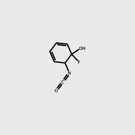 O=C=NC1C=CC=CC1(O)F